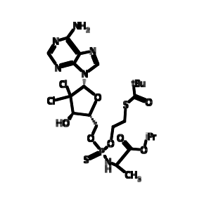 CC(C)OC(=O)C(C)NP(=S)(OCCSC(=O)C(C)(C)C)OC[C@H]1O[C@@H](n2cnc3c(N)ncnc32)C(Cl)(Cl)[C@@H]1O